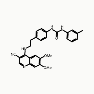 COc1cc2ncc(C#N)c(NCCc3ccc(NC(=O)Nc4cccc(C)c4)cc3)c2cc1OC